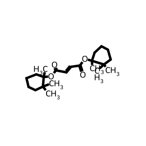 CC1(C)CCCCC1(C)OC(=O)/C=C/C(=O)OC1(C)CCCCC1(C)C